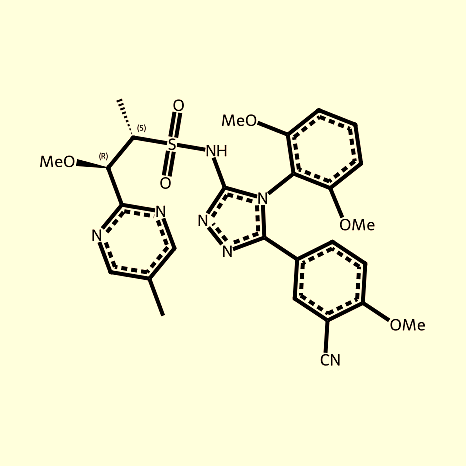 COc1ccc(-c2nnc(NS(=O)(=O)[C@@H](C)[C@H](OC)c3ncc(C)cn3)n2-c2c(OC)cccc2OC)cc1C#N